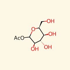 CC(=O)OC1O[C@@H](CO)[C@@H](O)[C@H](O)[C@H]1O